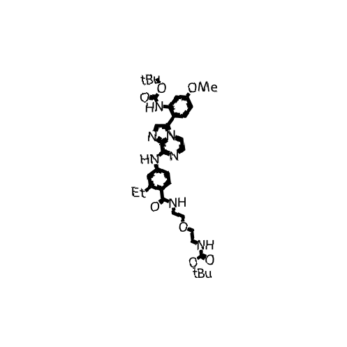 CCc1cc(Nc2nccn3c(-c4ccc(OC)cc4NC(=O)OC(C)(C)C)cnc23)ccc1C(=O)NCCOCCNC(=O)OC(C)(C)C